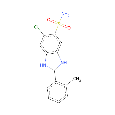 Cc1ccccc1C1Nc2cc(Cl)c(S(N)(=O)=O)cc2N1